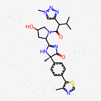 Cc1ncsc1-c1ccc([C@]2(C)NC(C3CC(O)CN3C(=O)C(c3cn(C)nn3)C(C)C)=NC2=O)cc1